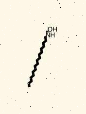 CCCCCCCCCCCCCCCCCCNCO